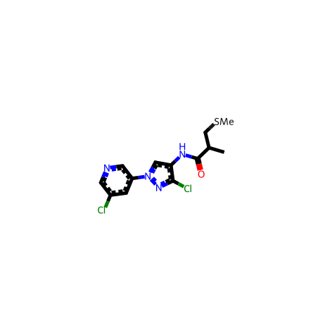 CSCC(C)C(=O)Nc1cn(-c2cncc(Cl)c2)nc1Cl